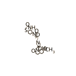 COc1ccc2ccc(=O)n(C[C@@]3(O)CCN(CC[C@@H]4CN(c5ccc6c(c5)NC(=O)CS6)C(=O)O4)C3)c2c1